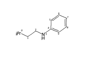 CC(C)CCNc1[c]cccc1